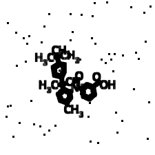 Cc1ccc(C(C)(C)c2ccc(C(C)(C)C)cc2)c(N(C=O)c2cccc(C(=O)O)c2)c1